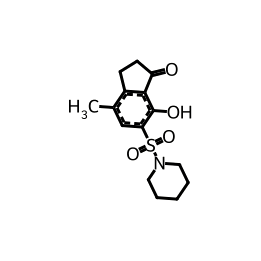 Cc1cc(S(=O)(=O)N2CCCCC2)c(O)c2c1CCC2=O